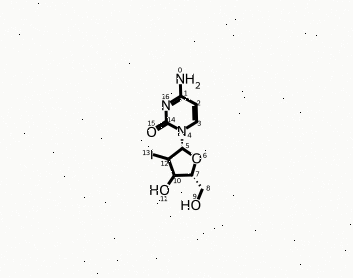 Nc1ccn([C@@H]2O[C@H](CO)C(O)C2I)c(=O)n1